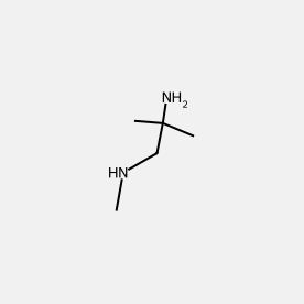 CNCC(C)(C)N